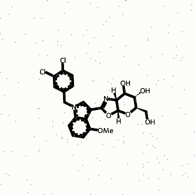 COc1cccc2c1c(C1=N[C@@H]3C(O)[C@H](O)[C@@H](CO)O[C@@H]3O1)cn2Cc1ccc(Cl)c(Cl)c1